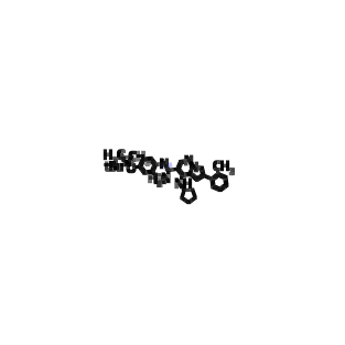 CCc1cc(O[Si](C)(C)C(C)(C)C)ccc1/N=C(\N)c1cnn2cc(-c3ccccc3C)cc2c1NC1CCCC1